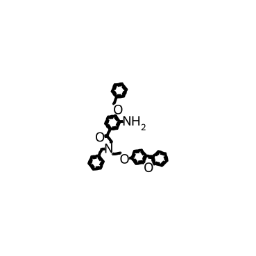 Nc1cc(C(=O)CN(CCOc2ccc3c(c2)oc2ccccc23)Cc2ccccc2)ccc1OCc1ccccc1